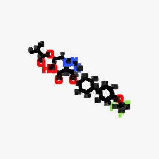 CC(C)C(=O)OCCn1nnc(O[C@H]2CC[C@H](c3ccc(OC(F)(F)F)cc3)CC2)c1C(=O)O